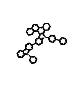 C1=Cc2c(c3ccc4ccccc4c3c3c4cc(-c5ccc6c7ccccc7n(-c7ccccc7)c6c5)ccc4n(-c4ccc(-c5ccccc5)cc4)c23)CC1